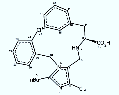 CCCCc1nc(Cl)c(CN[C@@H](Cc2ccccc2)C(=O)O)n1Cc1ccccc1Cl